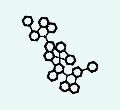 c1ccc(-c2ccc(N(c3ccccc3)c3cc4c(c5ccccc35)-c3ccc5cc(N(c6ccccc6)c6cccc(-c7ccccc7)c6-c6ccccc6)ccc5c3C43c4ccccc4-c4ccccc43)c(-c3ccccc3)c2)cc1